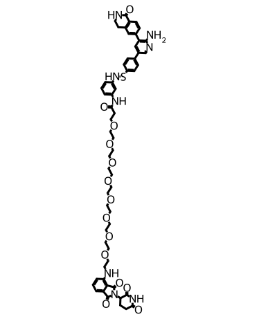 Nc1ncc(-c2ccc(SNc3cccc(NC(=O)CCOCCOCCOCCOCCOCCOCCOCCOCCNc4cccc5c4C(=O)N(C4CCC(=O)NC4=O)C5=O)c3)cc2)cc1-c1ccc2c(c1)CCNC2=O